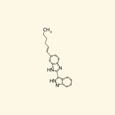 CCCCC=Cc1ccc2nc(-c3[nH]nc4ccccc34)[nH]c2c1